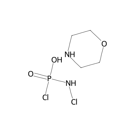 C1COCCN1.O=P(O)(Cl)NCl